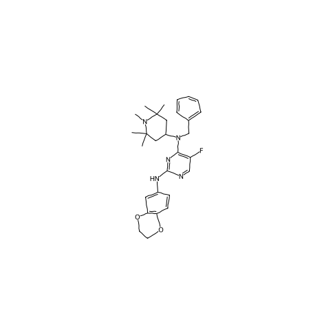 CN1C(C)(C)CC(N(Cc2ccccc2)c2nc(Nc3ccc4c(c3)OCCO4)ncc2F)CC1(C)C